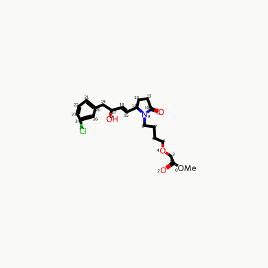 COC(=O)COCCCCN1C(=O)CCC1C=CC(O)Cc1cccc(Cl)c1